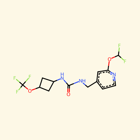 O=C(NCc1ccnc(OC(F)F)c1)NC1CC(OC(F)(F)F)C1